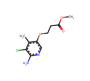 COC(=O)CCSc1cnc(N)c(Cl)c1C